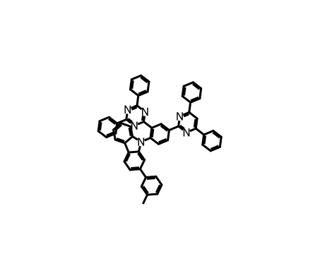 Cc1cccc(-c2ccc3c4ccccc4n(-c4ccc(-c5nc(-c6ccccc6)cc(-c6ccccc6)n5)cc4-c4nc(-c5ccccc5)nc(-c5ccccc5)n4)c3c2)c1